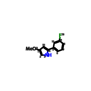 COc1c[nH]c(-c2cccc(F)c2)c1